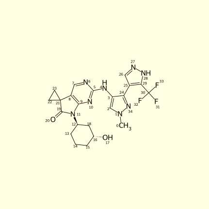 Cn1cc(Nc2ncc3c(n2)N([C@@H]2CCC[C@@H](O)C2)C(=O)C32CC2)c(-c2cn[nH]c2C(F)(F)F)n1